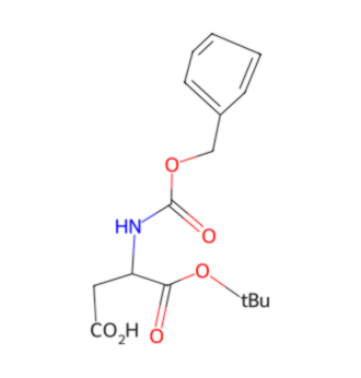 CC(C)(C)OC(=O)C(CC(=O)O)NC(=O)OCc1ccccc1